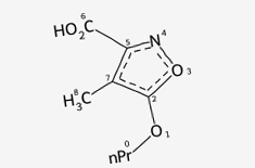 CCCOc1onc(C(=O)O)c1C